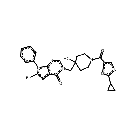 O=C(c1cnc(C2CC2)o1)N1CCC(O)(Cn2cnc3c(cc(Br)n3-c3ccccc3)c2=O)CC1